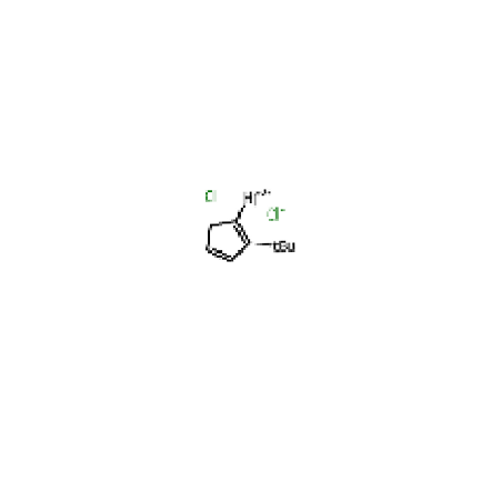 CC(C)(C)C1=[C]([Hf+2])CC=C1.[Cl-].[Cl-]